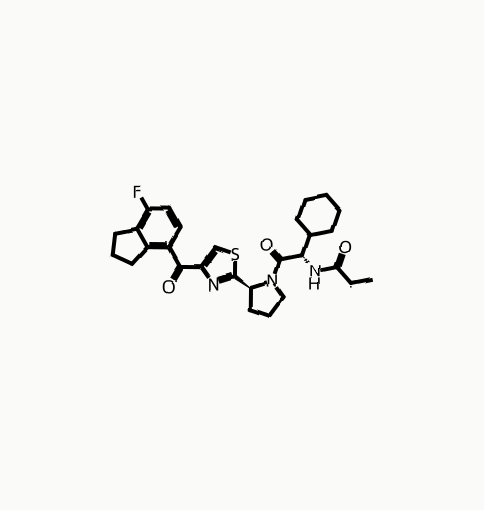 C[CH]C(=O)N[C@H](C(=O)N1CCC[C@H]1c1nc(C(=O)c2ccc(F)c3c2CCC3)cs1)C1CCCCC1